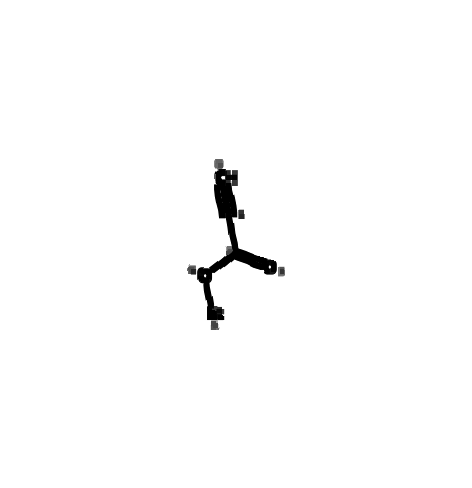 C#CC(=O)OC[CH2]